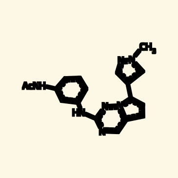 CC(=O)Nc1cccc(Nc2ncc3ccc(-c4cnn(C)c4)n3n2)c1